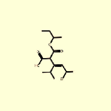 CCC(C)OC(=O)C(C(=O)O)C(=CC(Cl)Cl)C(C)C